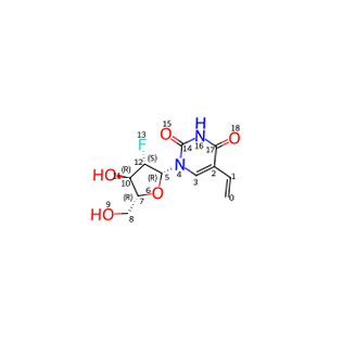 C=Cc1cn([C@@H]2O[C@H](CO)[C@@H](O)[C@@H]2F)c(=O)[nH]c1=O